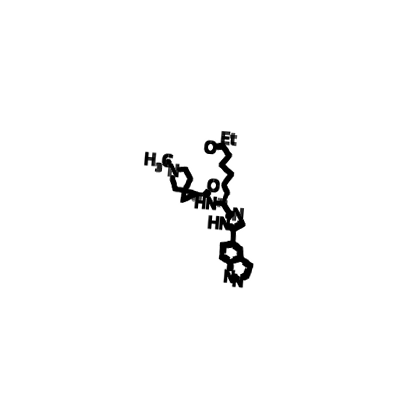 CCC(=O)CCCCC[C@H](NC(=O)[C@H]1CC12CCN(C)CC2)c1ncc(-c2ccc3nnccc3c2)[nH]1